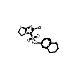 O=S(=O)(Nc1ccc2c(c1)CCCC2)c1c(Cl)nc2n1CCS2